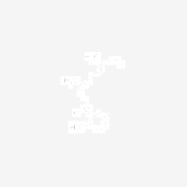 CC(C)=CCCC(C)=CC[S+]([O-])c1ccccc1C